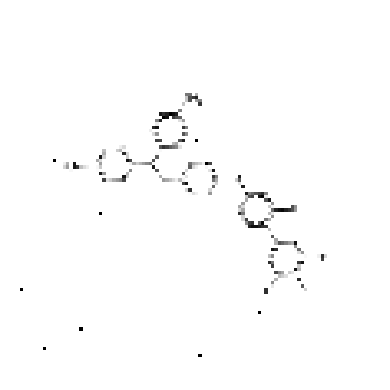 Nc1ccc(C(Cc2ccc(Oc3ccc(-c4cc(F)c(F)c(F)c4)c(F)c3)cc2)c2ccc(N)cc2)cc1